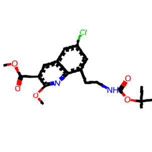 COC(=O)c1cc2cc(Cl)cc(CCNC(=O)OC(C)(C)C)c2nc1OC